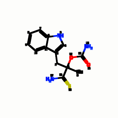 CC(C)(C)C(Cc1c[nH]c2ccccc12)(OC(N)=O)C(N)=S